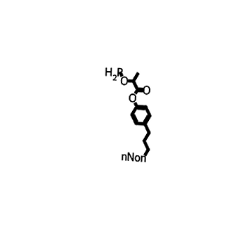 CCCCCCCCCCCCc1ccc(OC(=O)C(C)OP)cc1